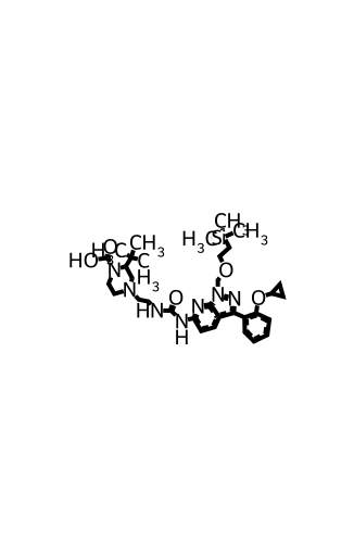 CC(C)(C)C1CN(CCNC(=O)Nc2ccc3c(-c4ccccc4OC4CC4)nn(COCC[Si](C)(C)C)c3n2)CCN1C(=O)O